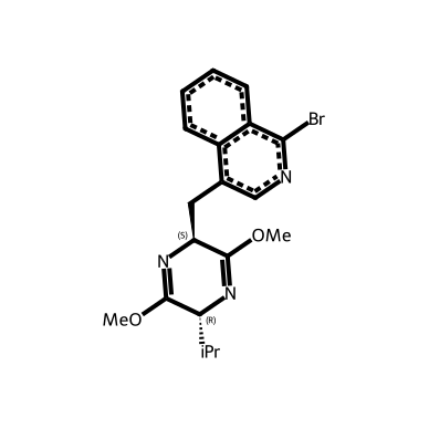 COC1=N[C@H](C(C)C)C(OC)=N[C@H]1Cc1cnc(Br)c2ccccc12